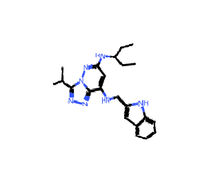 CCC(CC)Nc1cc(NCc2cc3ccccc3[nH]2)c2nnc(C(C)C)n2n1